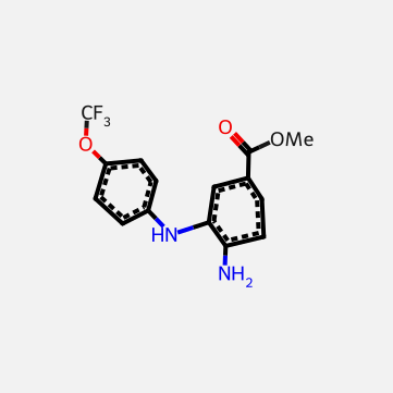 COC(=O)c1ccc(N)c(Nc2ccc(OC(F)(F)F)cc2)c1